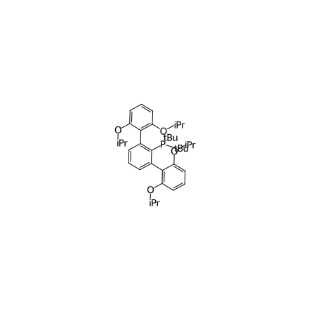 CC(C)Oc1cccc(OC(C)C)c1-c1cccc(-c2c(OC(C)C)cccc2OC(C)C)c1P(C(C)(C)C)C(C)(C)C